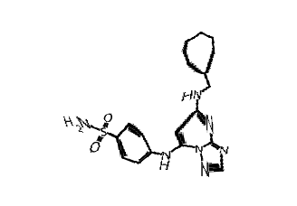 NS(=O)(=O)c1ccc(Nc2cc(NCC3CCCCC3)nc3ncnn23)cc1